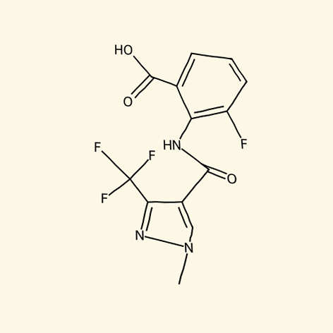 Cn1cc(C(=O)Nc2c(F)cccc2C(=O)O)c(C(F)(F)F)n1